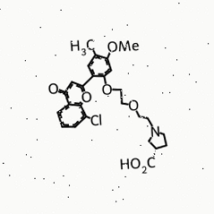 COc1cc(OCCOCCN2CC[C@H](C(=O)O)C2)c(-c2cc(=O)c3cccc(Cl)c3o2)cc1C